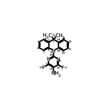 CC1(C)c2ccccc2N(c2nc(F)c(N)c(F)n2)c2ccccc21